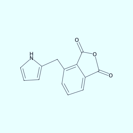 O=C1OC(=O)c2c(Cc3ccc[nH]3)cccc21